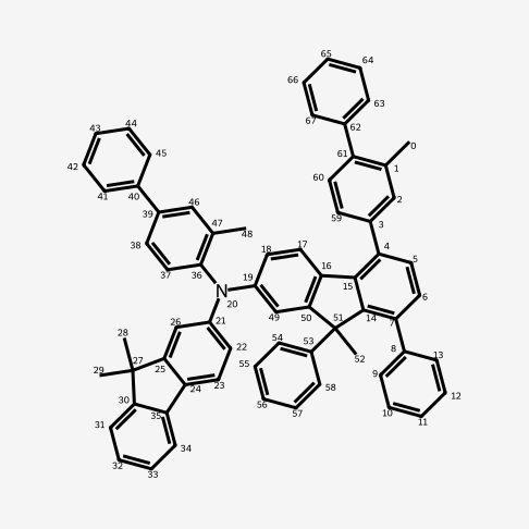 Cc1cc(-c2ccc(-c3ccccc3)c3c2-c2ccc(N(c4ccc5c(c4)C(C)(C)c4ccccc4-5)c4ccc(-c5ccccc5)cc4C)cc2C3(C)c2ccccc2)ccc1-c1ccccc1